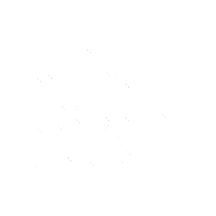 C=CC(=O)Nc1cc(Nc2nc(-c3cn(C)c4ccccc34)c3ccn(N(C)CCN(C)c4cc(OC)c(Nc5nc(-c6cnn(C)c6)c6cc[nH]c6n5)cc4NC(=O)C=C)c3n2)c(OC)cc1N(C)CCN(C)C